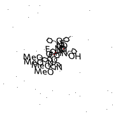 COc1cc2nccc(Oc3ccc(N(C(=O)NC(CO)Cc4ccccc4)[N+]4(c5ccc(Oc6ccnc7cc(OC)c(OC)cc67)c(F)c5)CC(Cc5ccccc5)N(S(=O)(=O)c5ccc(C)cc5)C4=O)cc3F)c2cc1OC